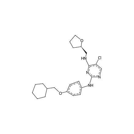 Clc1cnc(Nc2ccc(OCC3CCCCC3)cc2)nc1NC[C@H]1CCCO1